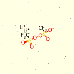 O=S(=O)([O-])C(F)(F)F.O=S(=O)([O-])C(F)(F)F.[Li+].[Li+]